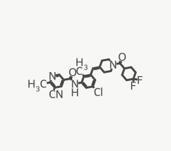 Cc1ncc(C(=O)Nc2cc(Cl)cc(C=C3CCN(C(=O)C4CCC(F)(F)CC4)CC3)c2C)cc1C#N